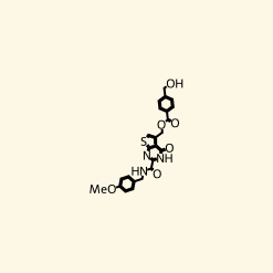 COc1ccc(CNC(=O)c2nc3scc(COC(=O)c4ccc(CO)cc4)c3c(=O)[nH]2)cc1